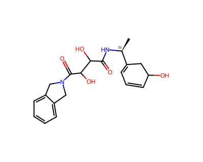 C[C@H](NC(=O)C(O)C(O)C(=O)N1Cc2ccccc2C1)C1=CC=CC(O)C1